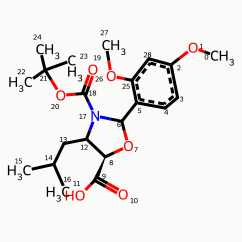 COc1ccc(C2O[C@@H](C(=O)O)C(CC(C)C)N2C(=O)OC(C)(C)C)c(OC)c1